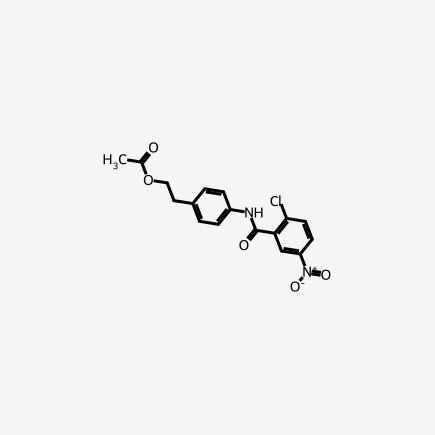 CC(=O)OCCc1ccc(NC(=O)c2cc([N+](=O)[O-])ccc2Cl)cc1